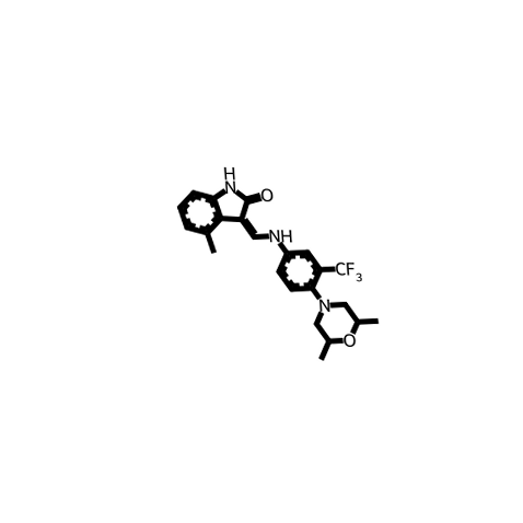 Cc1cccc2c1C(=CNc1ccc(N3CC(C)OC(C)C3)c(C(F)(F)F)c1)C(=O)N2